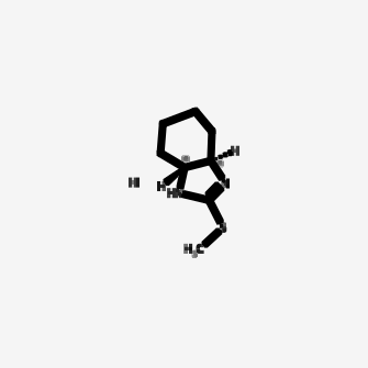 CSC1=N[C@@H]2CCCC[C@H]2N1.I